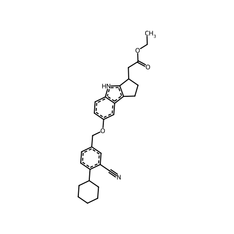 CCOC(=O)CC1CCc2c1[nH]c1ccc(OCc3ccc(C4CCCCC4)c(C#N)c3)cc21